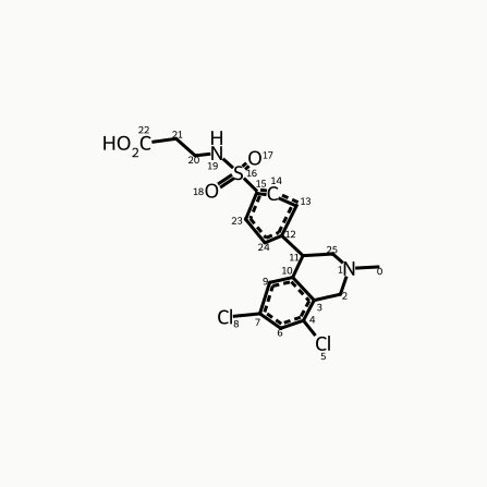 CN1Cc2c(Cl)cc(Cl)cc2C(c2ccc(S(=O)(=O)NCCC(=O)O)cc2)C1